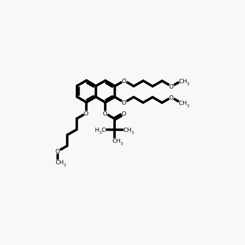 COCCCCOc1cc2cccc(OCCCCOC)c2c(OC(=O)C(C)(C)C)c1OCCCCOC